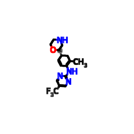 CC1=C(Nc2ncc(C(F)(F)F)cn2)C=CC([C@H]2CNCCO2)C1